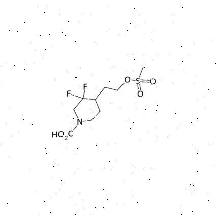 CS(=O)(=O)OCCC1CCN(C(=O)O)CC1(F)F